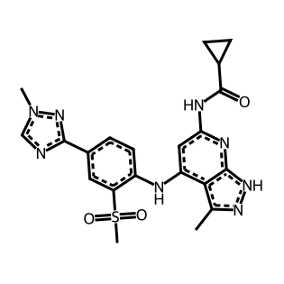 Cc1n[nH]c2nc(NC(=O)C3CC3)cc(Nc3ccc(-c4ncn(C)n4)cc3S(C)(=O)=O)c12